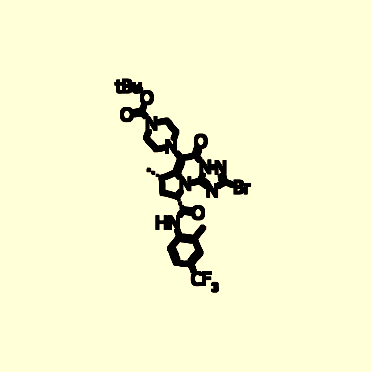 Cc1cc(C(F)(F)F)ccc1NC(=O)[C@@H]1C[C@H](C)c2c(N3CCN(C(=O)OC(C)(C)C)CC3)c(=O)n3nc(Br)nc3n21